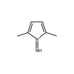 CC1=CC=C(C)[N+]1=N